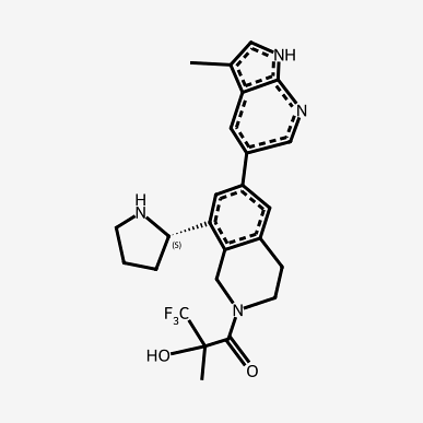 Cc1c[nH]c2ncc(-c3cc4c(c([C@@H]5CCCN5)c3)CN(C(=O)C(C)(O)C(F)(F)F)CC4)cc12